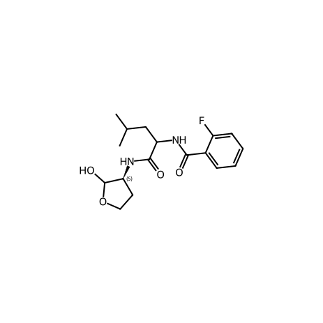 CC(C)CC(NC(=O)c1ccccc1F)C(=O)N[C@H]1CCOC1O